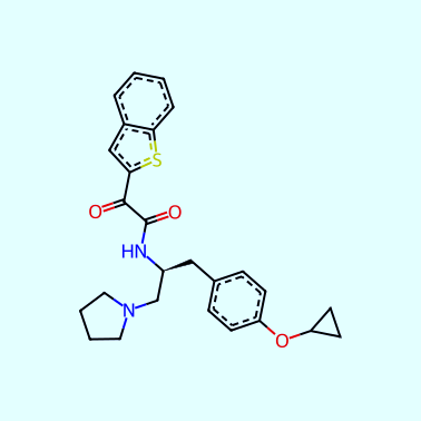 O=C(N[C@@H](Cc1ccc(OC2CC2)cc1)CN1CCCC1)C(=O)c1cc2ccccc2s1